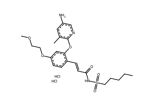 CCCCCS(=O)(=O)NC(=O)C=Cc1ccc(OCCOC)cc1Oc1ncc(N)cc1C.Cl.Cl